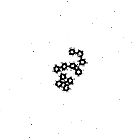 c1ccc(-c2cccc(-c3cccc(-n4c5ccccc5c5cc(-c6ccc7c8ccccc8n(-c8ccc([Si](c9ccccc9)(c9ccccc9)c9ccccc9)cc8)c7c6)ccc54)c3)n2)cc1